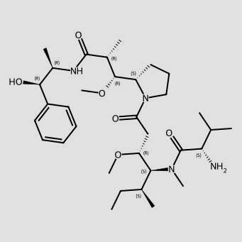 CC[C@H](C)[C@@H]([C@@H](CC(=O)N1CCC[C@H]1[C@H](OC)[C@@H](C)C(=O)N[C@H](C)[C@H](O)c1ccccc1)OC)N(C)C(=O)[C@@H](N)C(C)C